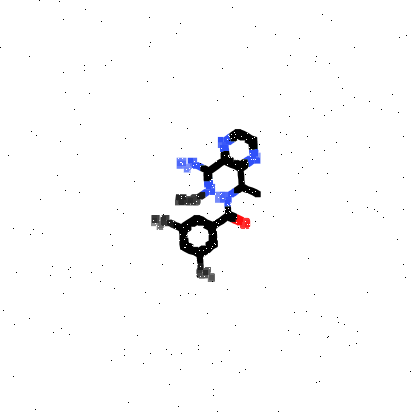 CON=C(N)c1nccnc1C(C)NC(=O)c1cc(C(F)(F)F)cc(C(F)(F)F)c1